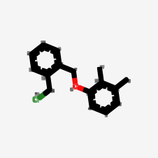 Cc1cccc(OCc2ccccc2CCl)c1C